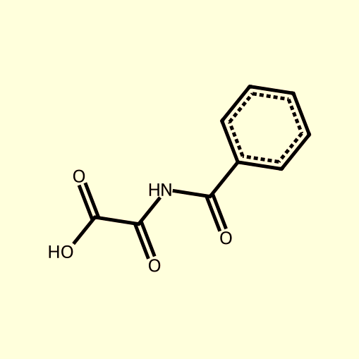 O=C(O)C(=O)NC(=O)c1ccccc1